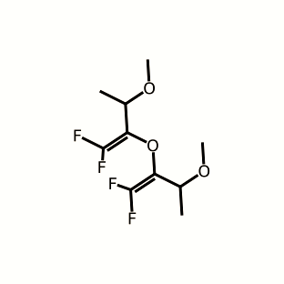 COC(C)C(OC(=C(F)F)C(C)OC)=C(F)F